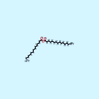 CC(C)CCCCCCCCCCCCCC(=O)OC(=O)CCCCCCCCCCCCCC(C)C